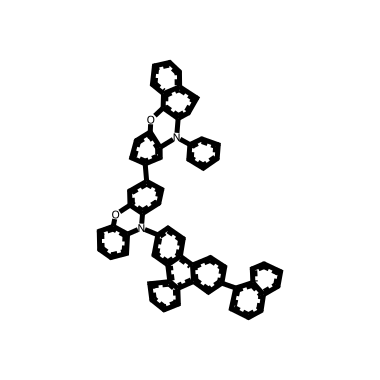 c1ccc(N2c3cc(-c4ccc5c(c4)Oc4ccccc4N5c4ccc5c6ccc(-c7cccc8ccccc78)cc6c6ccccc6c5c4)ccc3Oc3c2ccc2ccccc32)cc1